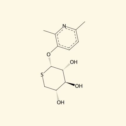 Cc1ccc(O[C@H]2SC[C@@H](O)[C@H](O)[C@H]2O)c(C)n1